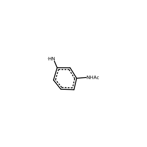 CC(=O)Nc1cccc([NH])c1